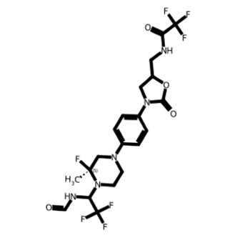 C[C@]1(F)CN(c2ccc(N3CC(CNC(=O)C(F)(F)F)OC3=O)cc2)CCN1C(NC=O)C(F)(F)F